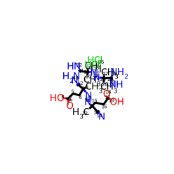 CC(C#N)(CCC(=O)O)/N=N/C(C)(C#N)CCC(=O)O.CC(C)(/N=N/C(C)(C)C(=N)N)C(=N)N.Cl.Cl